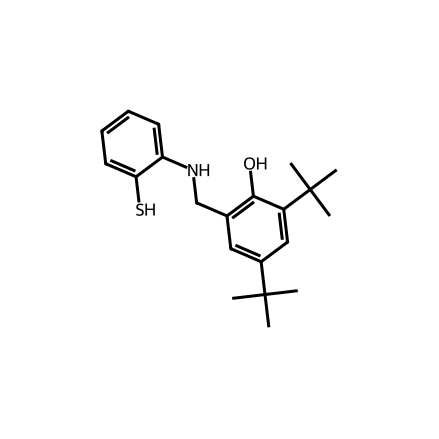 CC(C)(C)c1cc(CNc2ccccc2S)c(O)c(C(C)(C)C)c1